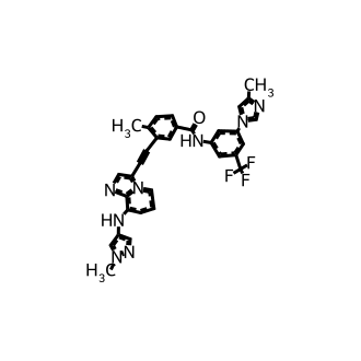 Cc1cn(-c2cc(NC(=O)c3ccc(C)c(C#Cc4cnc5c(Nc6cnn(C)c6)cccn45)c3)cc(C(F)(F)F)c2)cn1